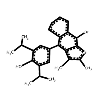 Cc1sc2c(Br)c3ccccc3c(-c3cc(C(C)C)c(O)c(C(C)C)c3)c2c1C